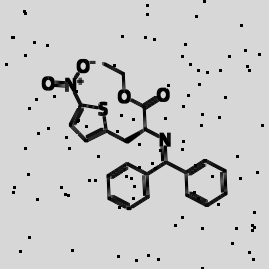 CCOC(=O)[C@H](Cc1ccc([N+](=O)[O-])s1)N=C(c1ccccc1)c1ccccc1